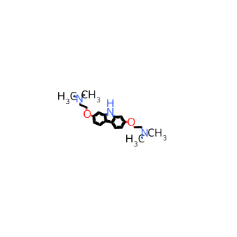 CN(C)CCOc1ccc2c(c1)[nH]c1cc(OCCN(C)C)ccc12